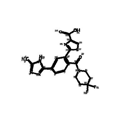 Cc1nnc(-c2ccc(C(=O)N3CCC(F)(F)CC3)c(-c3nc(C(=O)O)cs3)c2)[nH]1